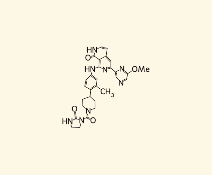 COc1cncc(-c2cc3cc[nH]c(=O)c3c(Nc3ccc(C4CCN(C(=O)N5CCNC5=O)CC4)c(C)c3)n2)n1